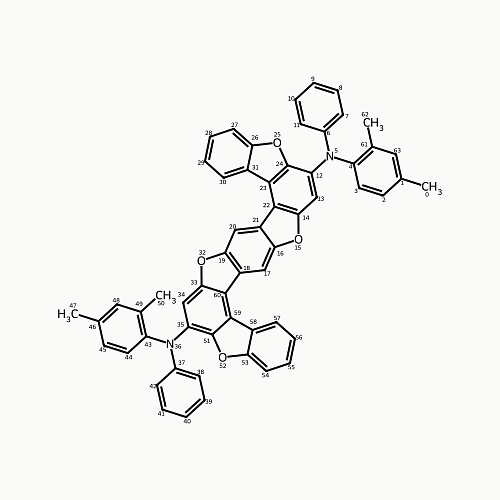 Cc1ccc(N(c2ccccc2)c2cc3oc4cc5c(cc4c3c3c2oc2ccccc23)oc2cc(N(c3ccccc3)c3ccc(C)cc3C)c3oc4ccccc4c3c25)c(C)c1